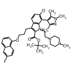 Cc1nn(C)c(C)c1-c1c(Cl)ccc2c(CCCOc3cccc4cc(F)ccc34)c(C(=O)OC(C)(C)C)n(CCN3CCN(C)CC3)c12